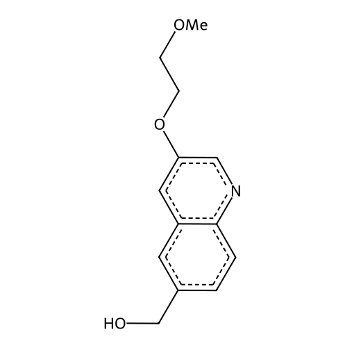 COCCOc1cnc2ccc(CO)cc2c1